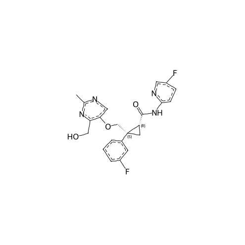 Cc1ncc(OC[C@@]2(c3cccc(F)c3)C[C@H]2C(=O)Nc2ccc(F)cn2)c(CO)n1